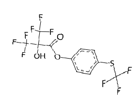 O=C(Oc1ccc(SC(F)(F)F)cc1)C(O)(C(F)(F)F)C(F)(F)F